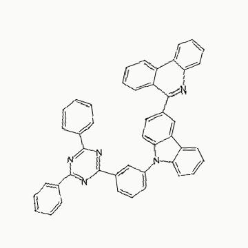 c1ccc(-c2nc(-c3ccccc3)nc(-c3cccc(-n4c5ccccc5c5cc(-c6nc7ccccc7c7ccccc67)ccc54)c3)n2)cc1